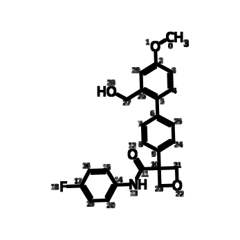 COc1ccc(-c2ccc(C3(C(=O)Nc4ccc(F)cc4)COC3)cc2)c(CO)c1